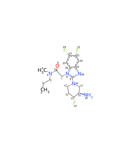 CCCN(C)C(=O)Cn1c(N2CC[C@@H](F)[C@H](N)C2)nc2cc(F)c(F)cc21